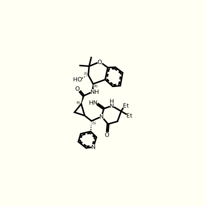 CCC1(CC)CC(=O)N([C@H](c2cccnc2)C2C[C@H]2C(=O)N[C@@H]2c3ccccc3OC(C)(C)[C@H]2O)C(=N)N1